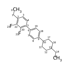 CCc1ccc(-c2ccc(C3CCC(CC)CC3)cc2)c(F)c1F